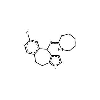 Clc1ccc2c(c1)C(N=C1CCCCCN1)c1ccsc1CC2